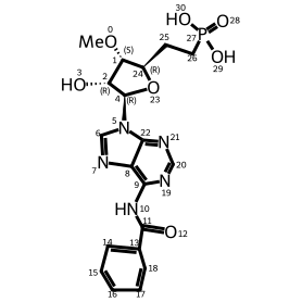 CO[C@H]1[C@@H](O)[C@H](n2cnc3c(NC(=O)c4ccccc4)ncnc32)O[C@@H]1CCP(=O)(O)O